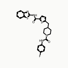 O=C(Nc1nc2ccccc2s1)c1ccc(CC2CCN(C(=O)Nc3ccc(F)cc3)CC2)s1